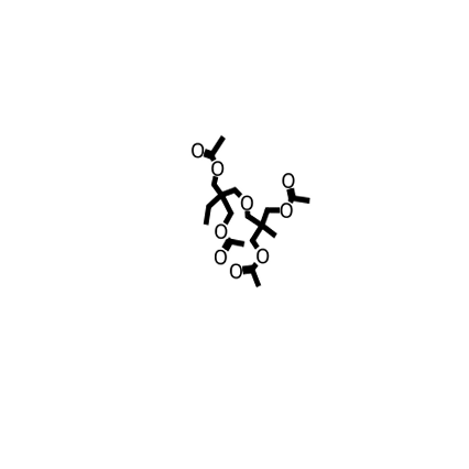 CCC(COCC(C)(COC(C)=O)COC(C)=O)(COC(C)=O)COC(C)=O